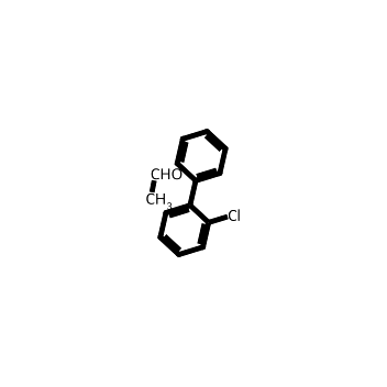 CC=O.Clc1ccccc1-c1ccccc1